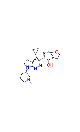 CN1CCC[C@@H](N2CCc3c2nnc(-c2ccc4c(c2O)CCO4)c3C2CC2)C1